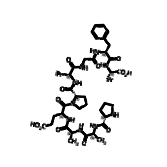 CC(C)[C@H](NC(=O)[C@H](Cc1ccccc1)NC(=O)CNC(=O)[C@@H](NC(=O)[C@@H]1CCCN1C(=O)[C@H](CCC(=O)O)NC(=O)[C@H](C)NC(=O)[C@H](C)NC(=O)[C@@H]1CCCN1)C(C)C)C(=O)O